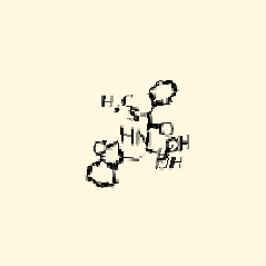 CS[C@@H](C(=O)N[C@@H](Cc1coc2ccccc12)B(O)O)c1ccccc1